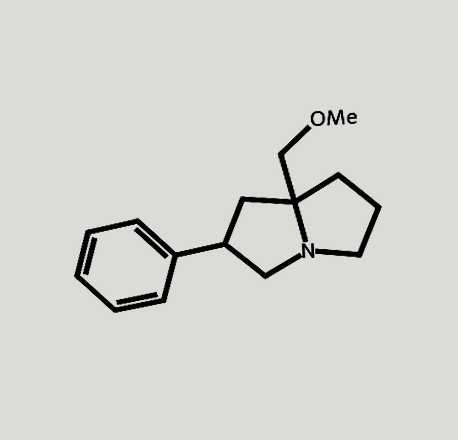 COCC12CCCN1CC(c1ccccc1)C2